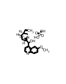 C=C[C@H]1C[N@]2CC[C@H]1C[C@@H]2C(O)c1ccnc2ccc(OC)cc12.O=S(=O)(O)O